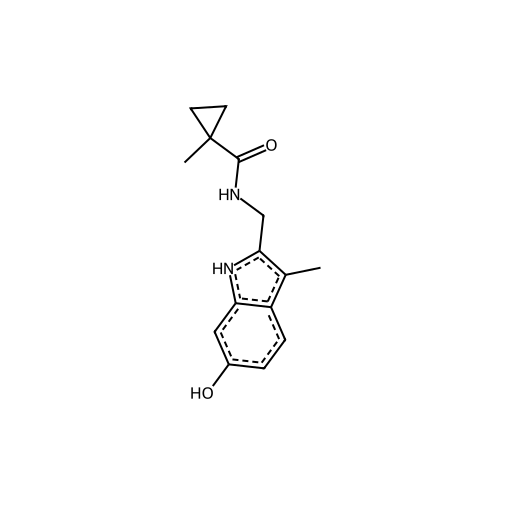 Cc1c(CNC(=O)C2(C)CC2)[nH]c2cc(O)ccc12